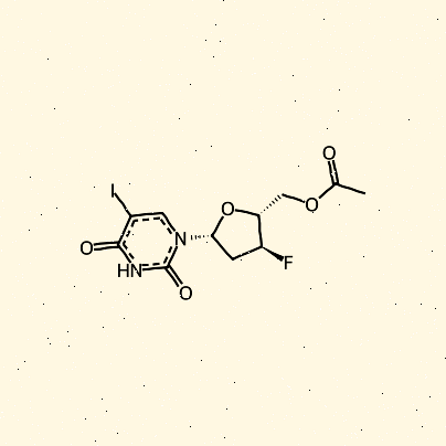 CC(=O)OC[C@H]1O[C@@H](n2cc(I)c(=O)[nH]c2=O)C[C@@H]1F